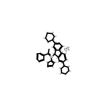 C/[C](c1ccccc1)=[Ti+2](/[C]1=CC=CC1)[CH]1c2cc(C3CCCCC3)ccc2-c2ccc(C3CCCCC3)cc21.[Cl-].[Cl-]